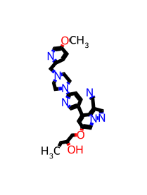 CCC(O)COc1cc(-c2ccc(N3CCN(Cc4ccc(OC)cn4)CC3)nc2)c2c(C#N)cnn2c1